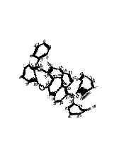 c1ccc(B2c3ccccc3Oc3cc4ccc(N(c5ccccc5)c5ccccc5)c5ccc6ccc2c3c6c45)cc1